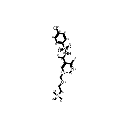 C/N=C(I)\C(=C/NCOCC[Si](C)(C)C)C(C)NS(=O)(=O)c1ccc(Cl)cc1